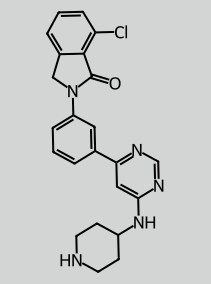 O=C1c2c(Cl)cccc2CN1c1cccc(-c2cc(NC3CCNCC3)ncn2)c1